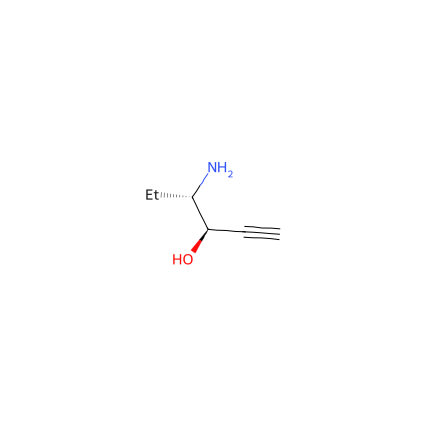 C#C[C@@H](O)[C@@H](N)CC